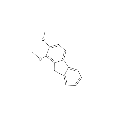 COc1ccc2c(c1OC)Cc1ccccc1-2